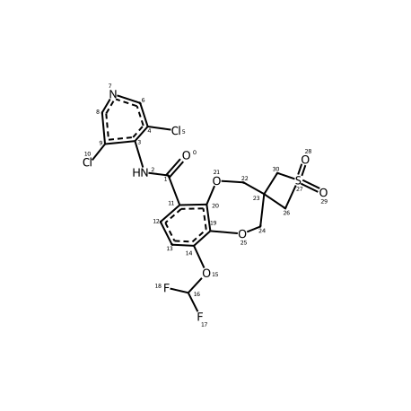 O=C(Nc1c(Cl)cncc1Cl)c1ccc(OC(F)F)c2c1OCC1(CO2)CS(=O)(=O)C1